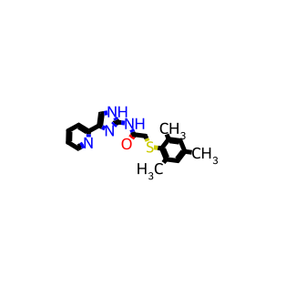 Cc1cc(C)c(SCC(=O)Nc2nc(-c3ccccn3)c[nH]2)c(C)c1